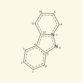 [c]1cccc2c1nn1[c]cccc21